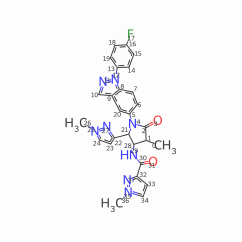 CC1C(=O)N(c2ccc3c(cnn3-c3ccc(F)cc3)c2)C(c2ccn(C)n2)C1NC(=O)c1ccn(C)n1